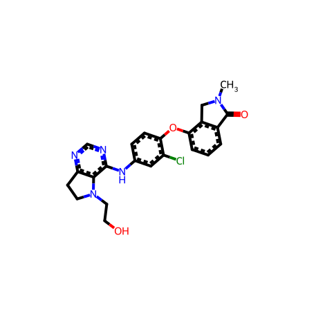 CN1Cc2c(Oc3ccc(Nc4ncnc5c4N(CCO)CC5)cc3Cl)cccc2C1=O